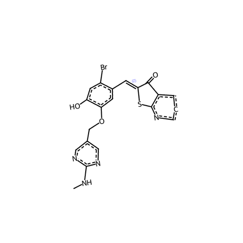 CNc1ncc(COc2cc(/C=C3\Sc4ncccc4C3=O)c(Br)cc2O)cn1